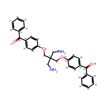 NCC(CN)(COc1ccc(C(=O)c2ccccc2)cc1)COc1ccc(C(=O)c2ccccc2)cc1